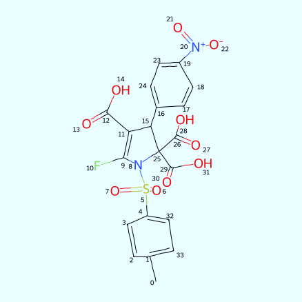 Cc1ccc(S(=O)(=O)N2C(F)=C(C(=O)O)C(c3ccc([N+](=O)[O-])cc3)C2(C(=O)O)C(=O)O)cc1